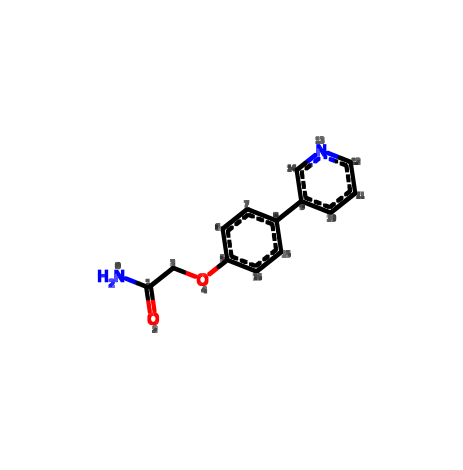 NC(=O)COc1ccc(-c2cccnc2)cc1